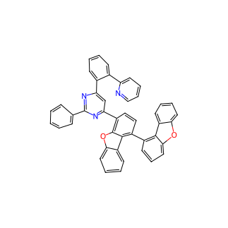 c1ccc(-c2nc(-c3ccccc3-c3ccccn3)cc(-c3ccc(-c4cccc5oc6ccccc6c45)c4c3oc3ccccc34)n2)cc1